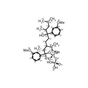 CC[C@@](OP(=O)(O)OP(=O)(O)O)(c1cccc(OC)c1)[C@H](C)C(CCC(O)(c1cccc(OC)c1)C(C)CN(C)C)N(C)C